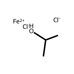 CC(C)O.[Cl-].[Cl-].[Fe+2]